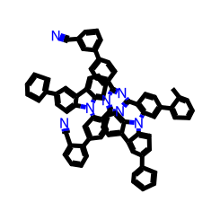 Cc1ccccc1-c1ccc(-c2nc(-c3ccc(-c4cccc(C#N)c4)cc3)nc(-c3ccc(-c4ccccc4C#N)cc3-n3c4ccccc4c4cc(-c5ccccc5)ccc43)n2)c(-n2c3ccccc3c3cc(-c4ccccc4)ccc32)c1